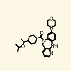 CC(C)O[C@@H](C)[C@H]1CC[C@@H](C(=O)N2Cc3cccnc3Nc3ccc(N4CCOCC4)cc32)CC1